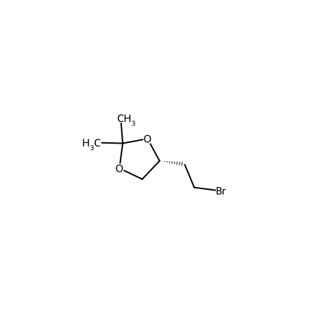 CC1(C)OC[C@@H](CCBr)O1